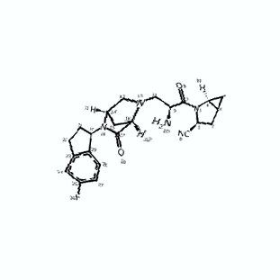 N#C[C@@H]1CC2C[C@@H]2N1C(=O)[C@@H](N)CN1C[C@@H]2C[C@H]1C(=O)N2[C@@H]1CCc2cc(F)ccc21